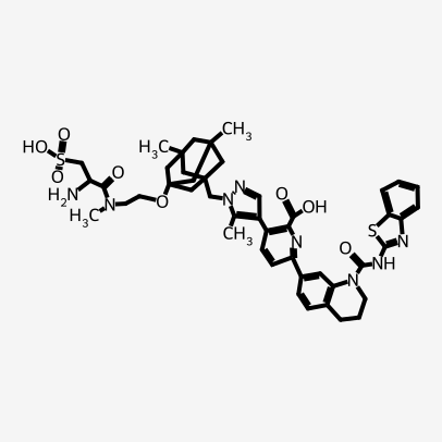 Cc1c(-c2ccc(-c3ccc4c(c3)N(C(=O)Nc3nc5ccccc5s3)CCC4)nc2C(=O)O)cnn1CC12CC3(C)CC(C)(C1)CC(OCCN(C)C(=O)C(N)CS(=O)(=O)O)(C3)C2